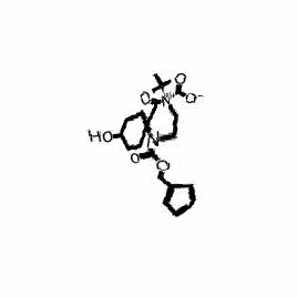 CC(C)(C)[N@+]1(C(=O)[O-])CCN(C(=O)OCc2ccccc2)C2(CCC(O)CC2)C1=O